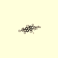 CCCCC(CC)CN1C(=O)c2ccc3c4c(C(F)(F)F)cc5c6c(ccc(c7c(C(F)(F)F)cc(c2c37)C1=O)c64)C(=O)N(CC(CC)CCCC)C5=O